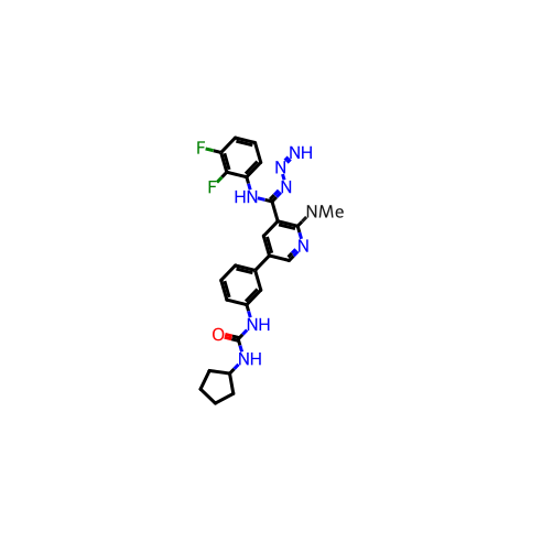 CNc1ncc(-c2cccc(NC(=O)NC3CCCC3)c2)cc1/C(=N/N=N)Nc1cccc(F)c1F